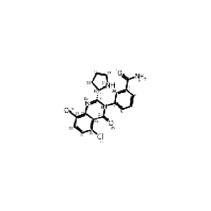 NC(=O)c1cccc(-n2c([C@@H]3CCCN3)nc3c(Cl)ccc(Cl)c3c2=O)c1